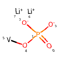 O=P([O-])([O-])[O][V].[Li+].[Li+]